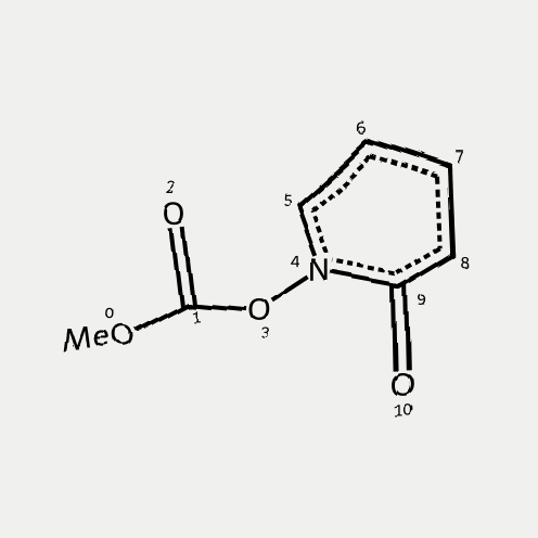 COC(=O)On1ccccc1=O